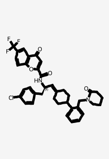 O=C(N[C@@H](C=C1CCC(c2ccccc2CN2CCCCC2=O)CC1)Cc1ccc(Cl)cc1)c1cc(=O)c2cc(C(F)(F)F)ccc2o1